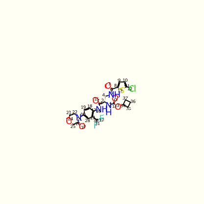 O=C(N[C@@H](CNC(=O)c1ccc(Cl)s1)C(=O)Nc1ccc(N2CCOCC2=O)cc1C(F)F)OC1CCC1